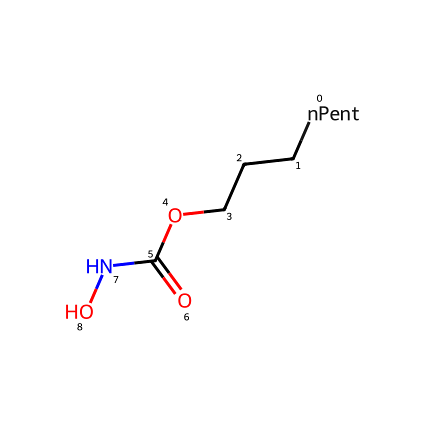 CCCCCCCCOC(=O)NO